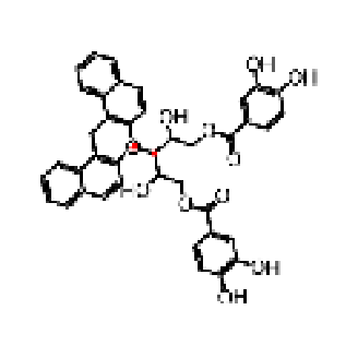 O=C(OCC(O)COc1ccc2ccccc2c1Cc1c(OCC(O)COC(=O)c2ccc(O)c(O)c2)ccc2ccccc12)c1ccc(O)c(O)c1